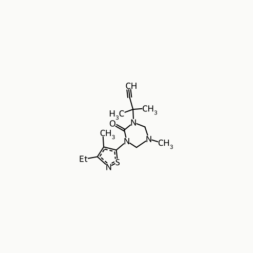 C#CC(C)(C)N1CN(C)CN(c2snc(CC)c2C)C1=O